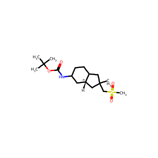 CC1(CS(C)(=O)=O)CC2CCC(NC(=O)OC(C)(C)C)C[C@H]2C1